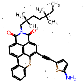 CCC(C)(C)CCC(C)(C)Cn1c(=O)c2ccc3c4ccccc4sc4c(C#Cc5ccc(N)s5)cc(c1=O)c2c43